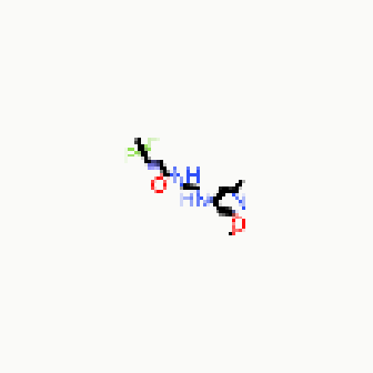 COc1cc(NCCNC(=O)/C=C/C(C)(F)F)cc(C)n1